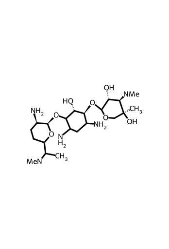 CNC(C)C1CC[C@@H](N)[C@@H](OC2C(N)CC(N)[C@H](OC3OC[C@](C)(O)[C@H](NC)[C@H]3O)[C@H]2O)O1